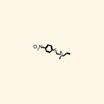 C=CC[Si](C)(C)CSc1ccc([N+](=O)[O-])cc1